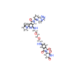 CCn1cnnc1-c1cccc(N2Cc3c(cc(N4CCC[C@H]4C)nc3NCCOCCOCCNc3ccc4c(c3)C(=O)N(C3CCC(=O)NC3=O)C4=O)C2=O)n1